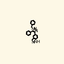 c1ccc(Cn2nnc(-c3ccc4[nH]ncc4c3)c2-c2ccccc2)cc1